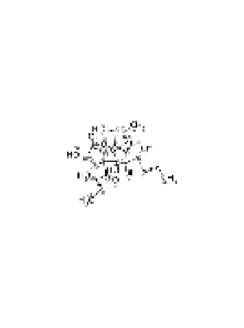 C/C=C/C(=O)C(O)(C(=O)/C=C/C)[C@@](O)(C(=O)/C=C/C)[C@@]1(C(=O)/C=C/C)OC(=O)C(O)=C1O